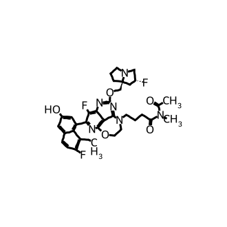 CCc1c(F)ccc2cc(O)cc(-c3nc4c5c(nc(OC[C@@]67CCCN6C[C@H](F)C7)nc5c3F)N(CCCC(=O)N(C)C(C)=O)CCO4)c12